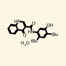 CC(C)(C)c1cc(C(C)(C)C)c(NC(=O)c2c[nH]c3ccccc3c2=O)cc1O.O